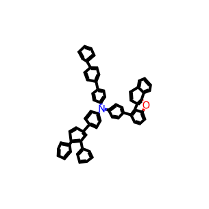 c1ccc(-c2ccc(-c3ccc(N(c4ccc(-c5ccc(-c6ccccc6)c(-c6ccccc6)c5)cc4)c4ccc(-c5cccc6oc7c8ccccc8ccc7c56)cc4)cc3)cc2)cc1